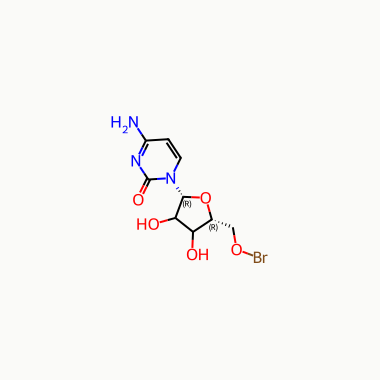 Nc1ccn([C@@H]2O[C@H](COBr)C(O)C2O)c(=O)n1